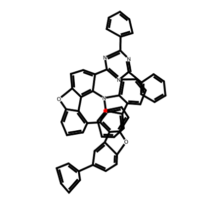 c1ccc(-c2ccc3oc4cccc(-c5cccc6oc7ccc(-c8nc(-c9ccccc9)nc(-c9ccccc9)n8)c(-n8c9ccccc9c9ccccc98)c7c56)c4c3c2)cc1